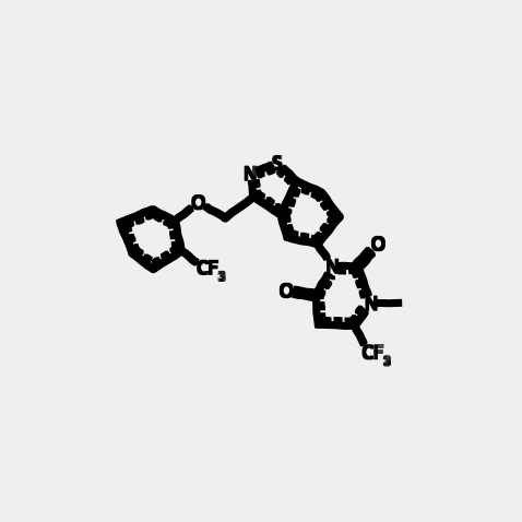 Cn1c(C(F)(F)F)cc(=O)n(-c2ccc3snc(COc4ccccc4C(F)(F)F)c3c2)c1=O